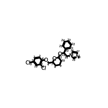 Clc1ccc(OCC2CCCC(OC(Cn3ccnc3)c3ccccc3)O2)c(Cl)c1